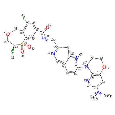 CCN(CC)c1cnc2c(c1)OCCN2c1ccc2cnc(CNC(=O)c3cc(F)c4c(c3)S(=O)(=O)[C@@H](F)COC4)cc2n1